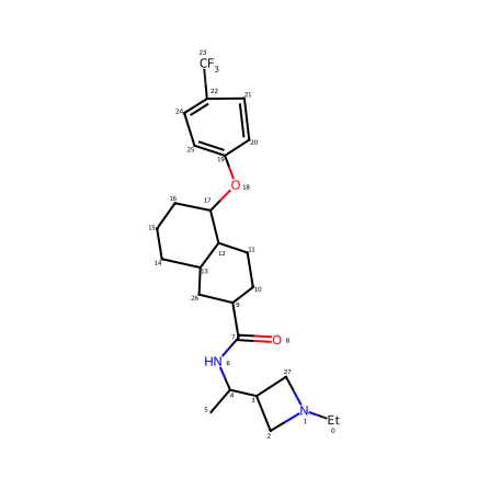 CCN1CC(C(C)NC(=O)C2CCC3C(CCCC3Oc3ccc(C(F)(F)F)cc3)C2)C1